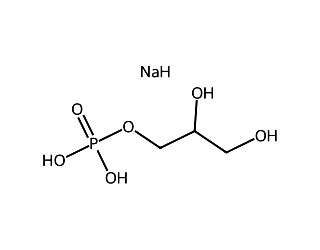 O=P(O)(O)OCC(O)CO.[NaH]